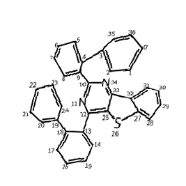 c1ccc(-c2ccccc2-c2nc(-c3ccccc3-c3ccccc3)c3sc4ccccc4c3n2)cc1